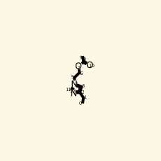 CCc1cn(CCOC(C)=O)cn1